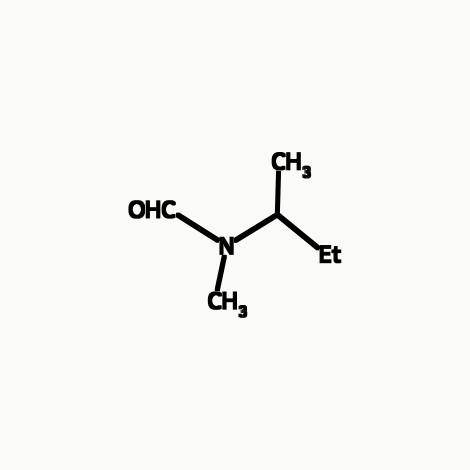 CCC(C)N(C)C=O